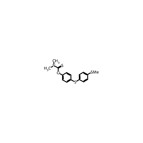 CSc1ccc(Sc2ccc(OC(=S)N(C)C)cc2)cc1